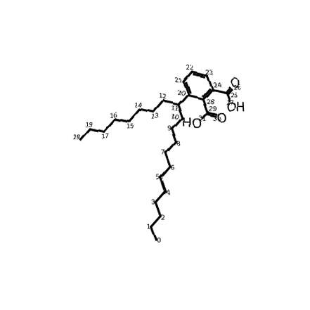 CCCCCCCCCCCC(CCCCCCCC)c1cccc(C(=O)O)c1C(=O)O